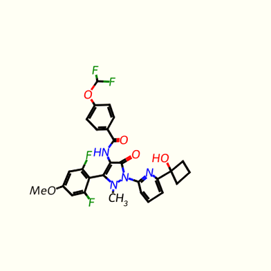 COc1cc(F)c(-c2c(NC(=O)c3ccc(OC(F)F)cc3)c(=O)n(-c3cccc(C4(O)CCC4)n3)n2C)c(F)c1